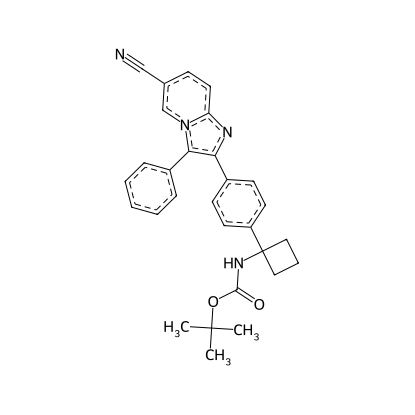 CC(C)(C)OC(=O)NC1(c2ccc(-c3nc4ccc(C#N)cn4c3-c3ccccc3)cc2)CCC1